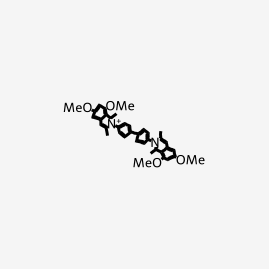 COc1cc(OC)c2c(C)[n+](-c3ccc(-c4ccc(-[n+]5c(C)cc6cc(OC)cc(OC)c6c5C)cc4)cc3)c(C)cc2c1